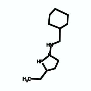 CCC1CCN(NCC2CCCCC2)P1